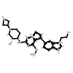 COc1nc(N[C@@H]2CCN(C3COC3)C[C@H]2F)nn2ccc(-c3ccc4ncn(CCF)c4c3)c12